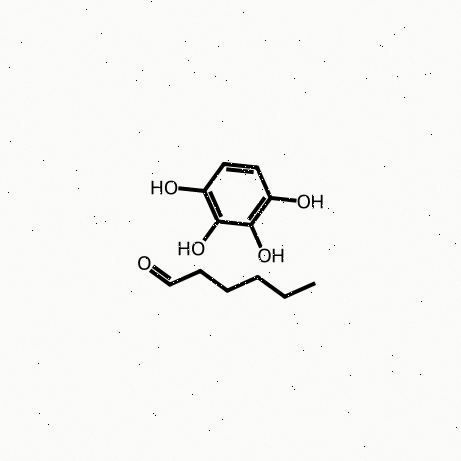 CCCCCC=O.Oc1ccc(O)c(O)c1O